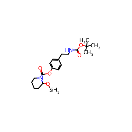 CC(C)(C)OC(=O)NCCc1ccc(OC(=O)N2CCCCC2O[SiH3])cc1